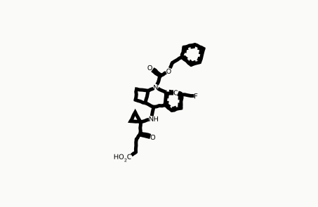 O=C(O)CCC(=O)C1(NC2c3ccc(F)cc3N(C(=O)OCc3ccccc3)C3CCC23)CC1